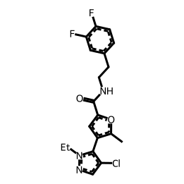 CCn1ncc(Cl)c1-c1cc(C(=O)NCCc2ccc(F)c(F)c2)oc1C